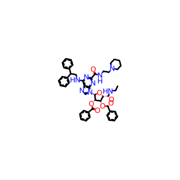 CCNC(=O)[C@H]1O[C@@H](n2cnc3c(NCC(c4ccccc4)c4ccccc4)nc(C(=O)NCCN4CCCCC4)nc32)[C@H](OC(=O)c2ccccc2)[C@H]1OC(=O)c1ccccc1